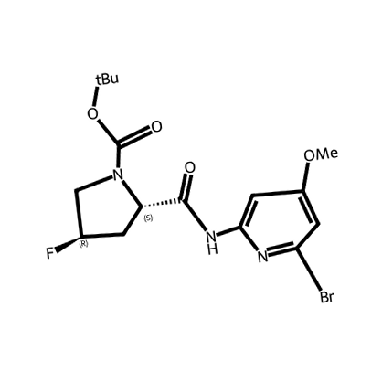 COc1cc(Br)nc(NC(=O)[C@@H]2C[C@@H](F)CN2C(=O)OC(C)(C)C)c1